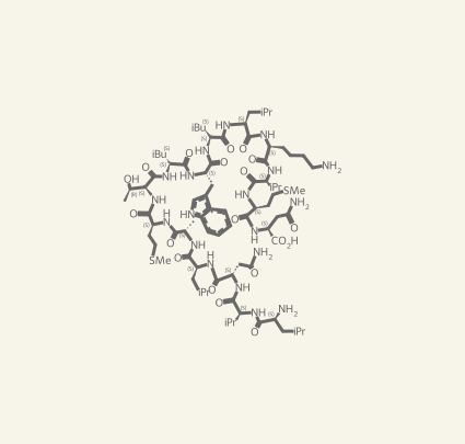 CC[C@H](C)[C@H](NC(=O)[C@H](Cc1c[nH]c2ccccc12)NC(=O)[C@@H](NC(=O)[C@@H](NC(=O)[C@H](CCSC)NC(=O)[C@H](C)NC(=O)[C@H](CC(C)C)NC(=O)[C@H](CC(N)=O)NC(=O)[C@@H](NC(=O)[C@@H](N)CC(C)C)C(C)C)[C@@H](C)O)[C@@H](C)CC)C(=O)N[C@@H](CC(C)C)C(=O)N[C@@H](CCCCN)C(=O)N[C@H](C(=O)N[C@@H](CCSC)C(=O)N[C@@H](CC(N)=O)C(=O)O)C(C)C